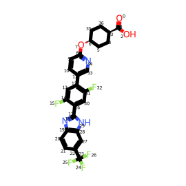 O=C(O)[C@H]1CC[C@H](Oc2ccc(-c3cc(F)c(-c4nc5ccc(C(F)(F)F)cc5[nH]4)cc3F)cn2)CC1